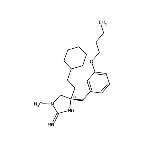 CCCCOc1cccc(C[C@]2(CCC3CCCCC3)CN(C)C(=N)N2)c1